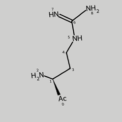 CC(=O)[C@@H](N)CCNC(=N)N